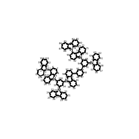 C1=Cc2c(n(-c3cccc4c3c3ccccc3n4-c3cc(-n4c5ccccc5c5ccccc54)cc(-n4c5ccccc5c5c(-c6cccc(-c7cc(-n8c9ccccc9c9ccccc98)cc(-n8c9ccccc9c9c(-n%10c%11ccccc%11c%11ccccc%11%10)cccc98)c7)c6)cccc54)c3)c3ccccc23)CC1